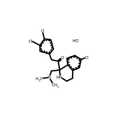 CN(C)CC1(C(=O)Cc2ccc(Cl)c(Cl)c2)NCCc2cc(Cl)ccc21.Cl